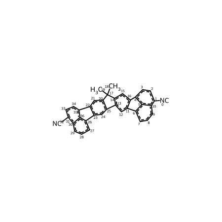 [C-]#[N+]c1ccc2c3c(cccc13)-c1cc3c(cc1-2)C(C)(C)c1cc2c(cc1-3)-c1cccc3c(C#N)ccc-2c13